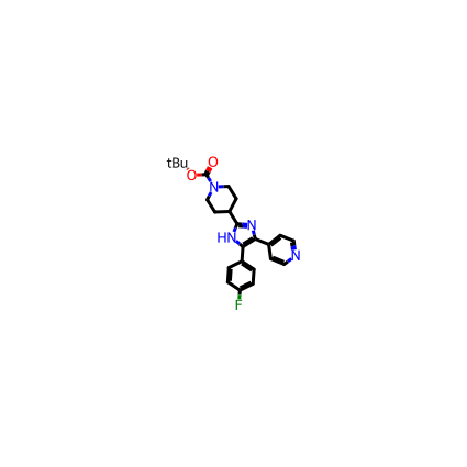 CC(C)(C)OC(=O)N1CCC(c2nc(-c3ccncc3)c(-c3ccc(F)cc3)[nH]2)CC1